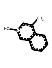 Cc1c[n+](O)cc2ccccc12